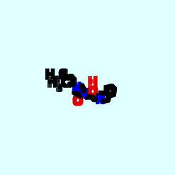 C=C/C=C\C(=C/C)N1CCN(CC(O)CN2CCc3ccccc3C2)C(=O)C1